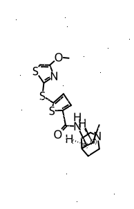 COc1csc(Sc2ccc(C(=O)N[C@@H]3C4CCN(CC4)[C@H]3C)s2)n1